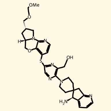 COCOC[C@H]1C[C@H]2COc3c(Sc4cnc(N5CCC6(CC5)Cc5ncccc5[C@H]6N)c(CO)n4)ccnc3N2C1